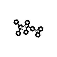 c1ccc(-c2cc(-c3ccccc3)nc(-n3c(-c4ccccc4)c(-c4ccc(-n5c6ccccc6c6ccccc65)cc4)c4ccccc43)c2)cc1